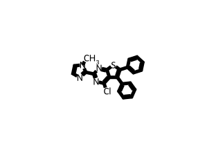 Cn1ccnc1-c1nc(Cl)c2c(-c3ccccc3)c(-c3ccccc3)sc2n1